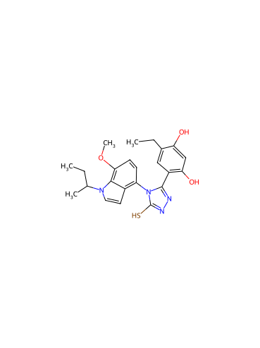 CCc1cc(-c2nnc(S)n2-c2ccc(OC)c3c2ccn3C(C)CC)c(O)cc1O